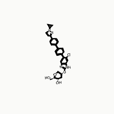 OC[C@H]1OC[C@H](Oc2nc3cc(-c4ccc(-c5ccc(-c6ccn(C7CC7)n6)cc5)cc4)c(Cl)cc3[nH]2)C[C@@H]1O